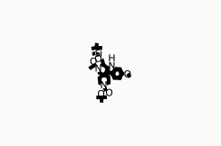 COc1ccc2c3c([nH]c2c1)C(CO[Si](C)(C)C(C)(C)C)N(C(C)=O)CC31CCN(C(=O)OC(C)(C)C)CC1